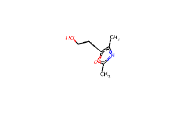 Cc1nc(C)c(CCO)o1